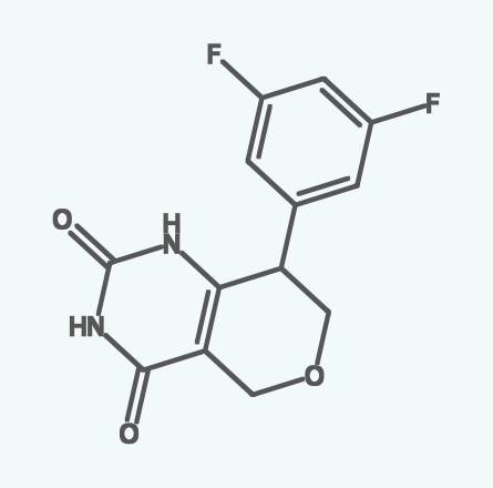 O=c1[nH]c2c(c(=O)[nH]1)COCC2c1cc(F)cc(F)c1